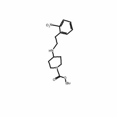 CC(C)(C)OC(=O)N1CCC(NCCc2ccccc2[N+](=O)[O-])CC1